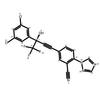 N#Cc1cc(C#C[C@@](O)(c2cc(Cl)cc(Cl)c2)C(F)(F)F)ccc1-n1cncn1